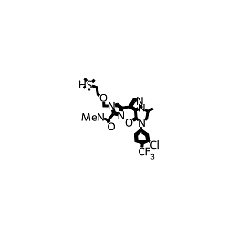 CNC(=O)c1nc(-c2cnn3c2C(=O)N(c2ccc(C(F)(F)F)c(Cl)c2)CC3C)cn1COCC[SH](C)(C)(C)C